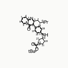 CC(C)CCc1nc2ccccn2c(=O)c1-c1ccc(NC2CCN(C(=O)OC(C)(C)C)C2)cc1